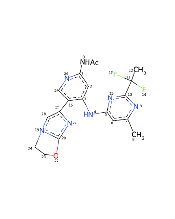 CC(=O)Nc1cc(Nc2cc(C)nc(C(C)(F)F)n2)c(-c2cn3c(n2)OCC3)cn1